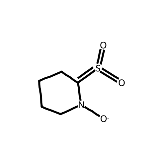 [O]N1CCCCC1=S(=O)=O